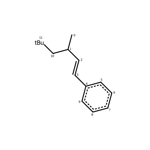 CC(/C=C/c1ccccc1)CC(C)(C)C